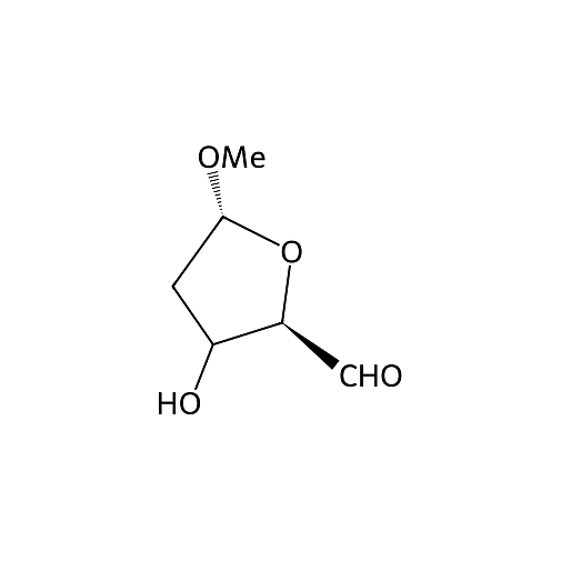 CO[C@H]1CC(O)[C@H](C=O)O1